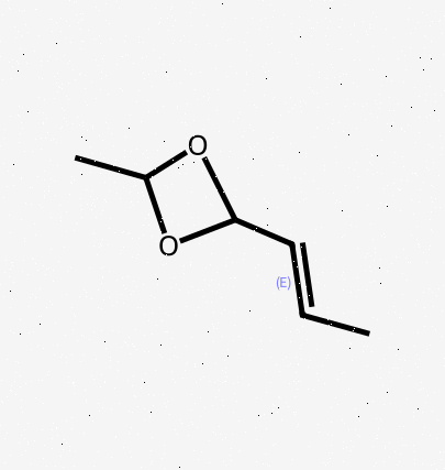 C/C=C/C1OC(C)O1